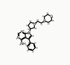 Nc1ncnc2c1c(-c1ccccc1)cn2C1CCN(CCN2CCOCC2)C1